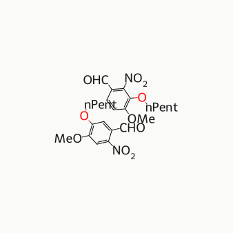 CCCCCOc1c(OC)ccc(C=O)c1[N+](=O)[O-].CCCCCOc1cc(C=O)c([N+](=O)[O-])cc1OC